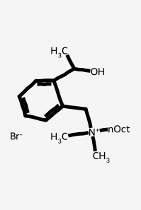 CCCCCCCC[N+](C)(C)Cc1ccccc1C(C)O.[Br-]